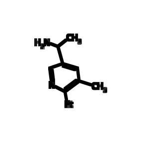 CCc1ncc(C(C)N)cc1C